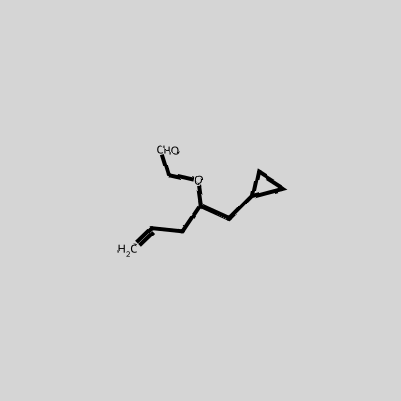 C=CCC(CC1CC1)OCC=O